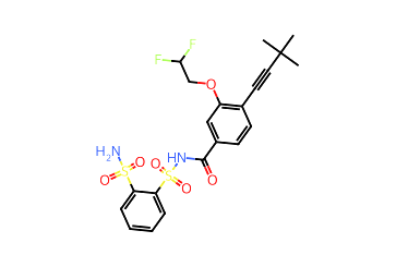 CC(C)(C)C#Cc1ccc(C(=O)NS(=O)(=O)c2ccccc2S(N)(=O)=O)cc1OCC(F)F